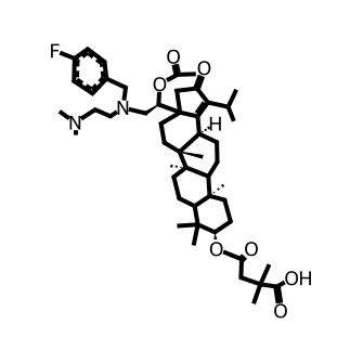 CC(=O)O[C@H](CN(CCN(C)C)Cc1ccc(F)cc1)C12CC[C@]3(C)[C@H](CCC4[C@@]5(C)CC[C@H](OC(=O)CC(C)(C)C(=O)O)C(C)(C)C5CC[C@]43C)C1=C(C(C)C)C(=O)C2